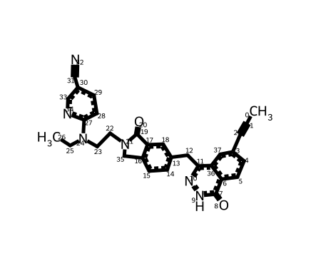 CC#Cc1ccc2c(=O)[nH]nc(Cc3ccc4c(c3)C(=O)N(CCN(CC)c3ccc(C#N)cn3)C4)c2c1